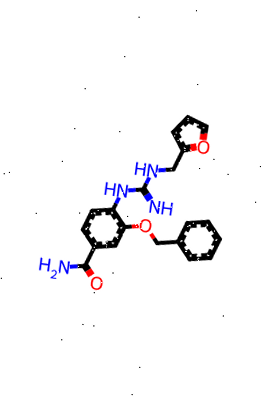 N=C(NCc1ccco1)Nc1ccc(C(N)=O)cc1OCc1ccccc1